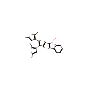 Cc1cc(-c2sc3c4c(sc3c2-c2cc(C)sc2C)-c2ccccc2[PH]4=O)c(C)s1